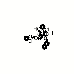 OCC(Oc1ccccc1Cl)c1nc(OCCOc2ccccc2Cl)ncc1C1CCNCC1OCc1ccc2ccccc2c1